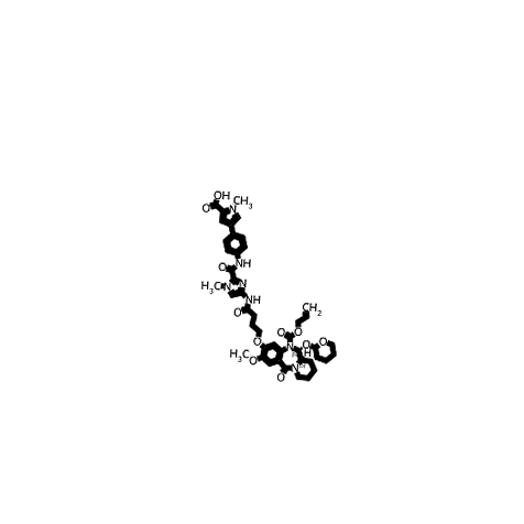 C=CCOC(=O)N1c2cc(OCCCC(=O)Nc3cn(C)c(C(=O)Nc4ccc(-c5cc(C(=O)O)n(C)c5)cc4)n3)c(OC)cc2C(=O)N2CCCC[C@H]2[C@@H]1OC1CCCCO1